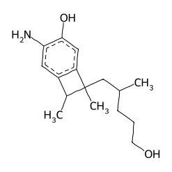 CC(CCCO)CC1(C)c2cc(O)c(N)cc2C1C